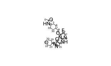 CC(=O)NC1CCC(COc2nc(Nc3cnn(C4CCOCC4)c3Cl)ncc2F)CC1